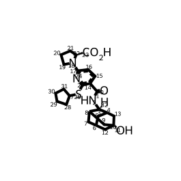 O=C(N[C@H]1C2CC3CC1C[C@@](O)(C3)C2)c1ccc(N2CCC[C@H]2C(=O)O)nc1SC1CCCC1